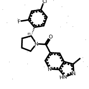 Cc1n[nH]c2ncc(C(=O)N3CCC[C@@H]3c3ccc(Cl)cc3F)cc12